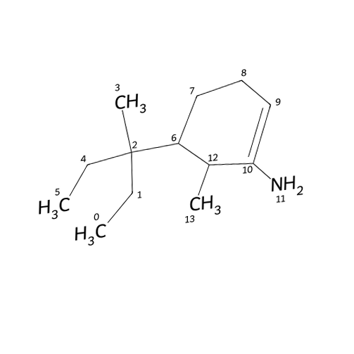 CCC(C)(CC)C1CCC=C(N)C1C